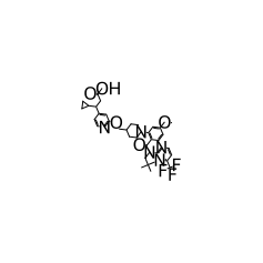 COc1ccc(C(=O)N(CC(C)(C)C)c2nccc(C(F)(F)F)n2)c(N2CCC(COc3cc(C(CC(=O)O)C4CC4)ccn3)CC2)c1